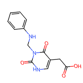 O=C(O)Cc1c[nH]c(=O)n(CNc2ccccc2)c1=O